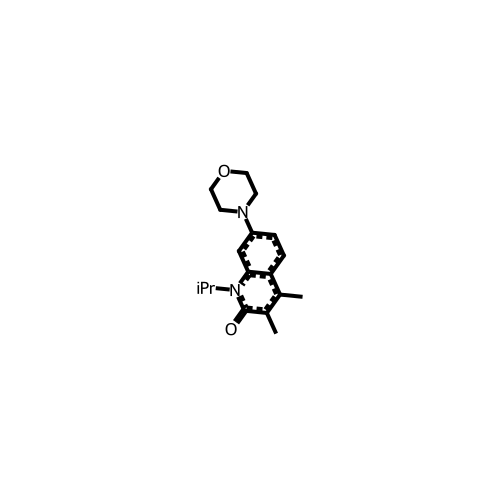 Cc1c(C)c2ccc(N3CCOCC3)cc2n(C(C)C)c1=O